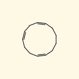 [CH]1C=CCCC=CCCCCC=C1